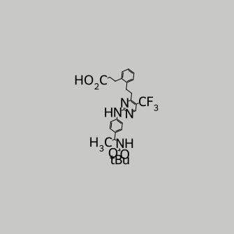 CC(NC(=O)OC(C)(C)C)c1ccc(Nc2ncc(C(F)(F)F)c(CCc3ccccc3CCC(=O)O)n2)cc1